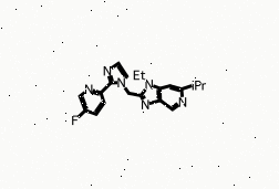 CCn1c(Cn2ccnc2-c2ccc(F)cn2)nc2cnc(C(C)C)cc21